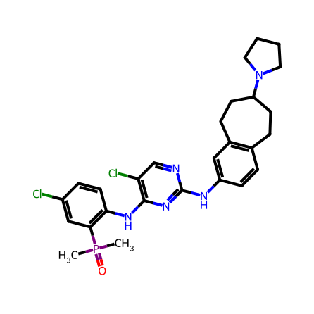 CP(C)(=O)c1cc(Cl)ccc1Nc1nc(Nc2ccc3c(c2)CCC(N2CCCC2)CC3)ncc1Cl